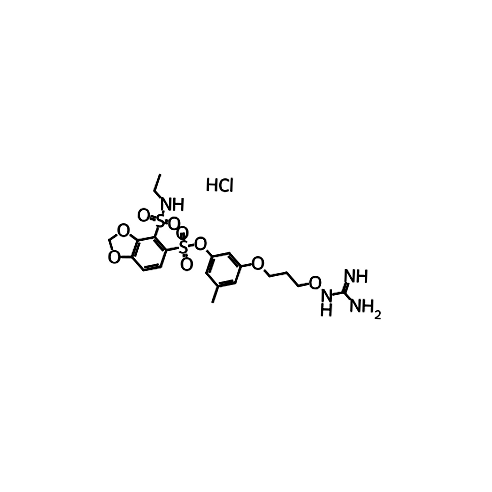 CCNS(=O)(=O)c1c(S(=O)(=O)Oc2cc(C)cc(OCCCONC(=N)N)c2)ccc2c1OCO2.Cl